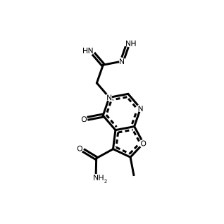 Cc1oc2ncn(CC(=N)N=N)c(=O)c2c1C(N)=O